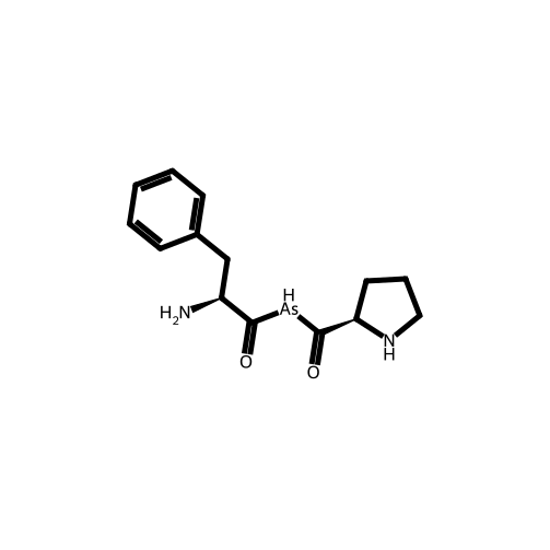 N[C@@H](Cc1ccccc1)C(=O)[AsH]C(=O)[C@H]1CCCN1